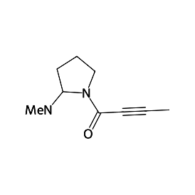 CC#CC(=O)N1CCCC1NC